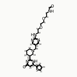 O=CNCCOCCOCCNc1ncc(CN2CCCC(c3nc(=O)cc(-c4cccs4)[nH]3)C2)cn1